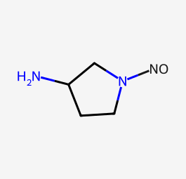 NC1CCN(N=O)C1